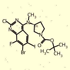 CN(c1nc(Cl)nc2c(F)c(Br)c(I)cc12)[C@H]1CCN(C(=O)OC(C)(C)C)C1